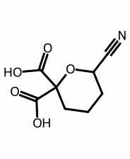 N#CC1CCCC(C(=O)O)(C(=O)O)O1